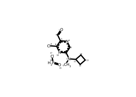 CN(c1cnc(C=O)c(Cl)n1)C1CCC1.O=[PH2]Cl